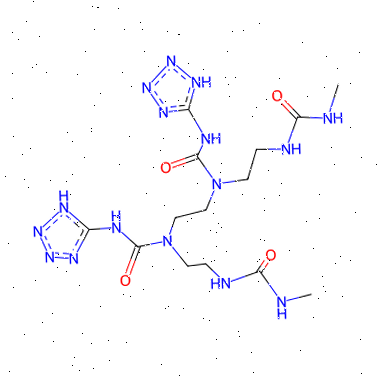 CNC(=O)NCCN(CCN(CCNC(=O)NC)C(=O)Nc1nnn[nH]1)C(=O)Nc1nnn[nH]1